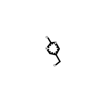 ClCc1cnc(Cl)nc1